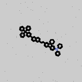 C1=CC(N(c2ccccc2)c2ccc3c(c2)C2(CCCCC2)c2cc(/C=C/c4ccc5cc(-c6ccc(C(c7ccccc7)(c7ccccc7)c7ccccc7)cc6)ccc5c4)ccc2-3)=CCC1